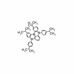 CC(C)C1=CCC(N2c3ccc(C(C)C)cc3B3c4cc(C(C)C)ccc4N(c4ccc(C(C)C)cc4)c4cccc2c43)C=C1